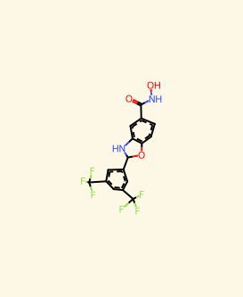 O=C(NO)c1ccc2c(c1)NC(c1cc(C(F)(F)F)cc(C(F)(F)F)c1)O2